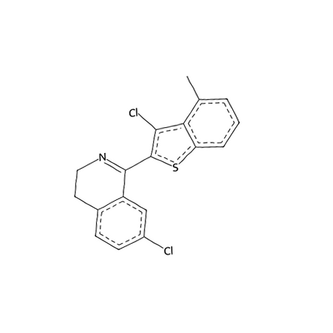 Cc1cccc2sc(C3=NCCc4ccc(Cl)cc43)c(Cl)c12